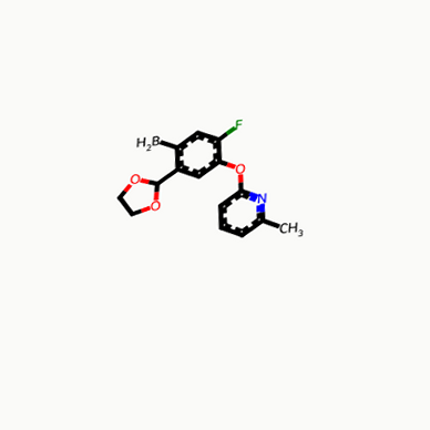 Bc1cc(F)c(Oc2cccc(C)n2)cc1C1OCCO1